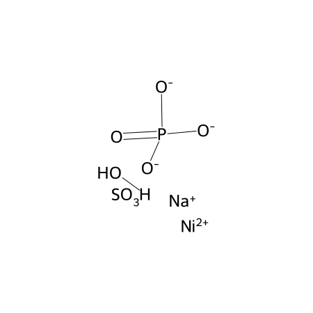 O=P([O-])([O-])[O-].O=S(=O)(O)O.[Na+].[Ni+2]